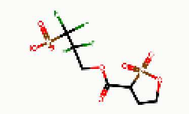 O=C(OCC(F)(F)C(F)(F)S(=O)(=O)O)C1CCOS1(=O)=O